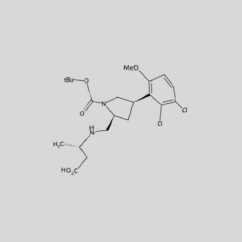 COc1ccc(Cl)c(Cl)c1[C@H]1C[C@@H](CN[C@@H](C)CC(=O)O)N(C(=O)OC(C)(C)C)C1